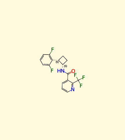 O=C(N[C@H]1CC[C@H]1c1c(F)cccc1F)c1cccnc1C(F)(F)F